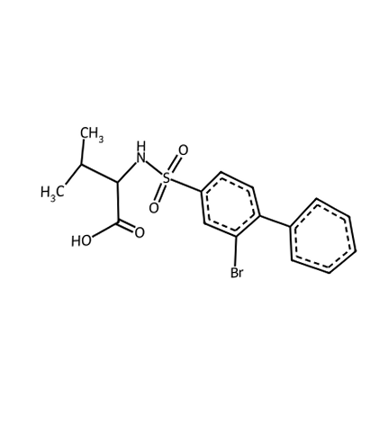 CC(C)C(NS(=O)(=O)c1ccc(-c2ccccc2)c(Br)c1)C(=O)O